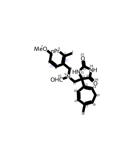 CCC/C(C)=C(\C=C/COC)CN(C=O)CC1(C2=CCC=C(C)C=C2)NC(=O)NC1=O